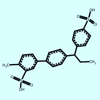 CCC(c1ccc(-c2ccc(C)c(S(=O)(=O)O)c2)cc1)c1ccc(S(=O)(=O)O)cc1